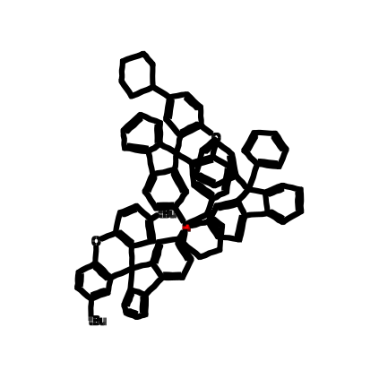 CC(C)(C)c1ccc2c(c1)C1(c3cc(C(C)(C)C)ccc3O2)c2ccccc2-c2ccc(N(c3ccc4c(c3)C(c3ccccc3)(c3ccccc3)c3ccccc3-4)c3ccc4c(c3)C3(c5cc(C6CCCCC6)ccc5Oc5ccc(C6CCCCC6)cc53)c3ccccc3-4)cc21